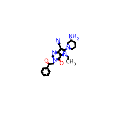 CCn1c(N2CCC[C@@H](N)C2)c(C#N)c2ncn(CC(=O)c3ccccc3)c(=O)c21